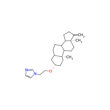 C=C1CCC2C3CCC4C[C@@H](OCCn5ccnc5)CC[C@]4(C)C3CC[C@]12C